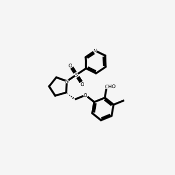 Cc1cccc(OC[C@@H]2CCCN2S(=O)(=O)c2cccnc2)c1C=O